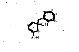 OC1=CC=CC(O)(Cc2ccccc2)C1